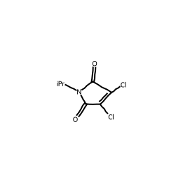 CC(C)N1C(=O)C(Cl)=C(Cl)C1=O